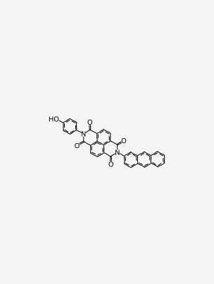 O=C1c2ccc3c4c(ccc(c24)C(=O)N1c1ccc(O)cc1)C(=O)N(c1ccc2cc4ccccc4cc2c1)C3=O